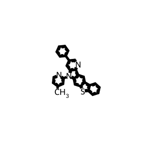 Cc1ccnc(-n2c3cc4sc5ccccc5c4cc3c3ncc(-c4ccccc4)cc32)c1